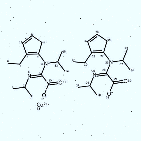 CCC1=C(N(C(=NC(C)C)C(=O)[O-])C(C)C)CC=C1.CCC1=C(N(C(=NC(C)C)C(=O)[O-])C(C)C)CC=C1.[Co+2]